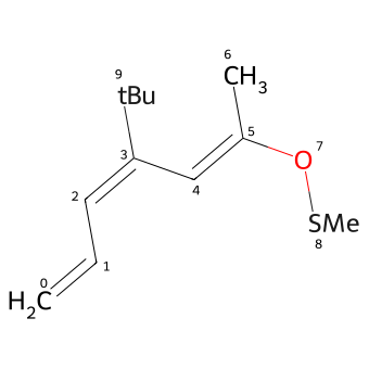 C=C/C=C(\C=C(/C)OSC)C(C)(C)C